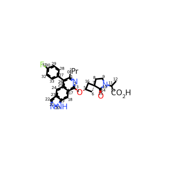 CC(C)c1nc(O[C@H]2C[C@@]3(CCN(C(C)C(=O)O)C3=O)C2)c2cc3[nH]ncc3cc2c1-c1ccc(F)cc1